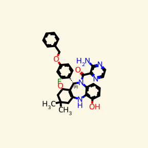 CC1(C)CC(=O)C2=C(C1)Nc1c(O)cccc1N(C(=O)c1nccnc1N)[C@H]2c1ccc(OCc2ccccc2)cc1F